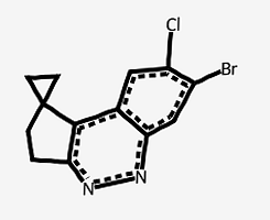 Clc1cc2c3c(nnc2cc1Br)CCC31CC1